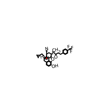 CN(C(=O)CCc1ccc(C(F)(F)F)cc1)C1CC[C@@]2(O)[C@H]3Cc4ccc(O)c5c4[C@@]2(CC(C#N)N3CC2CC2)C1O5